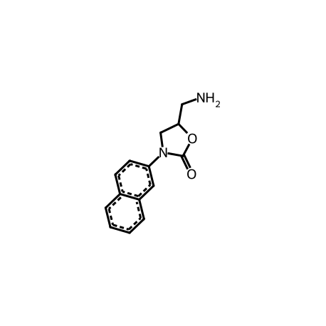 NCC1CN(c2ccc3ccccc3c2)C(=O)O1